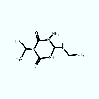 CCNC1NC(=O)N(C(C)C)C(=O)N1N